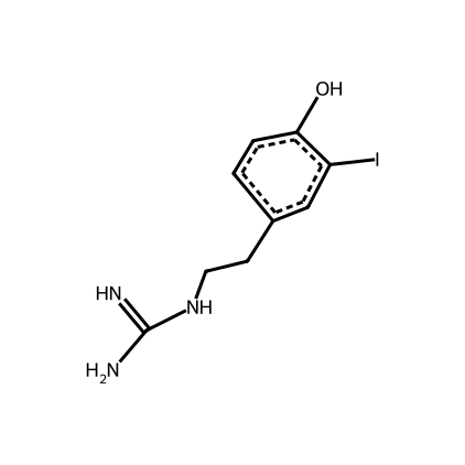 N=C(N)NCCc1ccc(O)c(I)c1